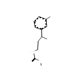 CC(C)(C)OC(=O)NCCC(O)c1cccc(Br)c1